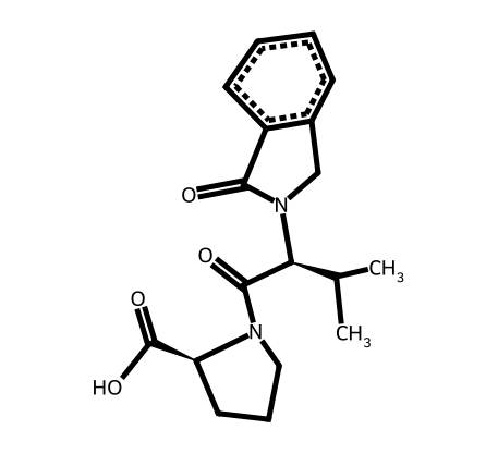 CC(C)[C@@H](C(=O)N1CCC[C@H]1C(=O)O)N1Cc2ccccc2C1=O